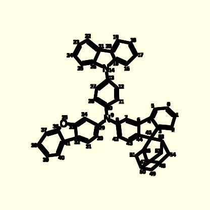 c1ccc2c(c1)-c1cc(N(c3ccc(-n4c5ccccc5c5ccccc54)cc3)c3ccc4c(c3)oc3ccccc34)ccc1C21C2CC3CC(C2)CC1C3